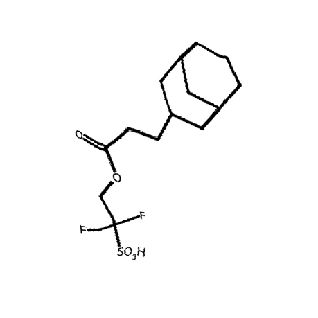 O=C(CCC1CC2CCCC(C2)C1)OCC(F)(F)S(=O)(=O)O